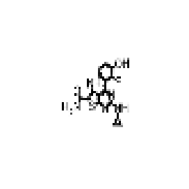 NC(=O)c1sc2nc(NC3CC3)nc(-c3cccc(O)c3F)c2c1N